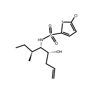 C=CC[C@@H](O)[C@@H](NS(=O)(=O)c1ccc(Cl)s1)[C@@H](C)CC